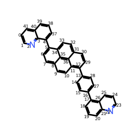 c1cnc2c(-c3ccc4ccc5c(-c6ccc(-c7cccc8ncccc78)cc6)ccc6ccc3c4c65)cccc2c1